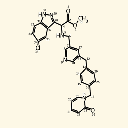 COC(=O)C(NCc1cncc(Cc2ccc(Cn3ccccc3=O)cc2)c1)c1n[nH]c2ccc(Cl)cc12